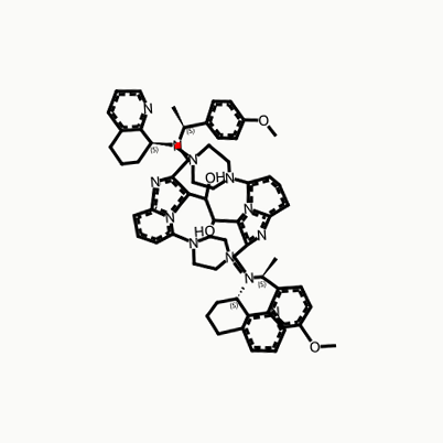 COc1ccc([C@H](C)N(Cc2nc3cccc(N4CCN(C)CC4)n3c2C(O)C(O)c2c(CN([C@@H](C)c3ccc(OC)cc3)[C@H]3CCCc4cccnc43)nc3cccc(N4CCN(C)CC4)n23)[C@H]2CCCc3cccnc32)cc1